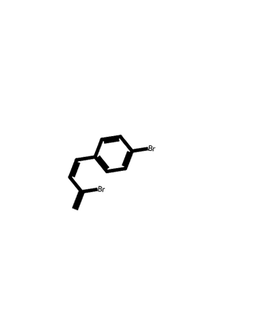 C=C(Br)/C=C\c1ccc(Br)cc1